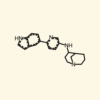 c1cc2cc(-c3ccc(NC4CCN5CCCC4C5)cn3)ccc2[nH]1